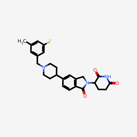 Cc1cc(F)cc(CN2CCC(c3ccc4c(c3)CN(C3CCC(=O)NC3=O)C4=O)CC2)c1